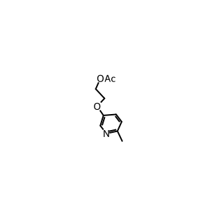 CC(=O)OCCOc1ccc(C)nc1